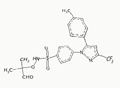 Cc1ccc(-c2cc(C(F)(F)F)nn2-c2ccc(S(=O)(=O)NOC(C)(C)C=O)cc2)cc1